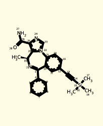 C[C@@H]1N=C(c2ccccc2)c2cc(C#C[Si](C)(C)C)ccc2-n2cnc(C(N)=O)c21